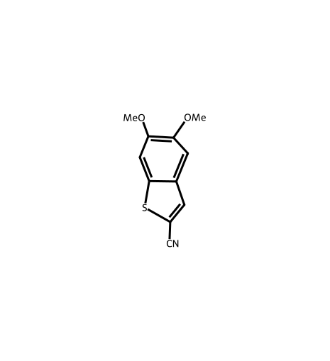 COc1cc2cc(C#N)sc2cc1OC